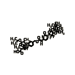 CC(C)OC(=O)C(C)NP(=O)(NC(C)C(=O)O)Oc1ccc(COC(=O)Nc2ccn([C@@H]3O[C@H](CO[Si](C)(C)C)[C@@H](O[Si](C)(C)C)C3(F)F)c(=O)n2)cc1